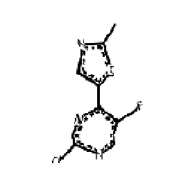 Cc1ncc(-c2nc(Cl)ncc2F)s1